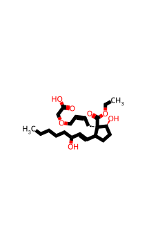 CCCCCC(O)C=CC1CC[C@@H](O)[C@]1(C/C=C\COCC(=O)O)C(=O)OCC